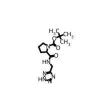 CC(C)(C)OC(=O)N1CCCC1C(=O)NCc1nn[nH]n1